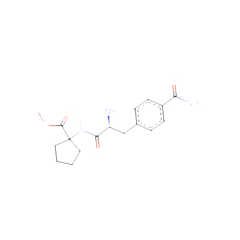 COC(=O)C1(NC(=O)[C@@H](N)Cc2ccc(C(N)=O)cc2)CCCC1